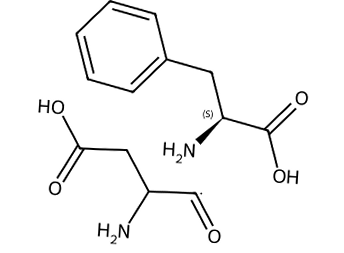 NC([C]=O)CC(=O)O.N[C@@H](Cc1ccccc1)C(=O)O